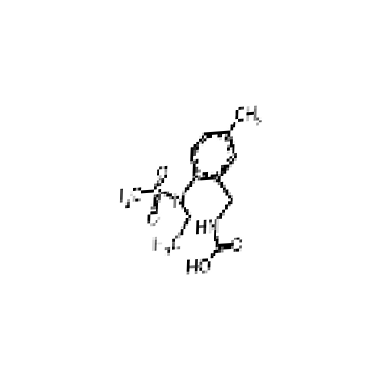 CCN(c1ccc(C)cc1CNC(=O)O)S(C)(=O)=O